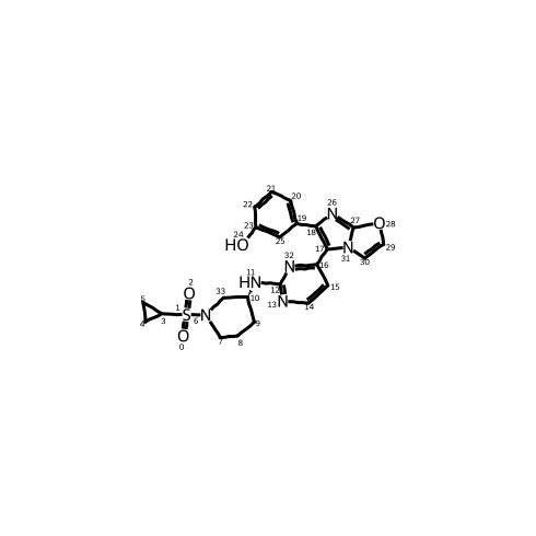 O=S(=O)(C1CC1)N1CCC[C@@H](Nc2nccc(-c3c(-c4cccc(O)c4)nc4occn34)n2)C1